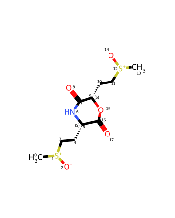 C[S+]([O-])CC[C@@H]1NC(=O)[C@H](CC[S+](C)[O-])OC1=O